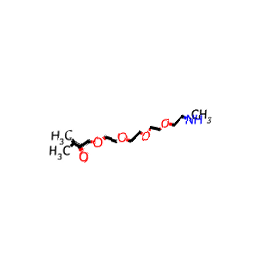 CNCCOCCOCCOCCOCC(=O)C(C)C